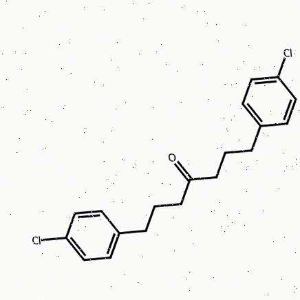 O=C(CCCc1ccc(Cl)cc1)CCCc1ccc(Cl)cc1